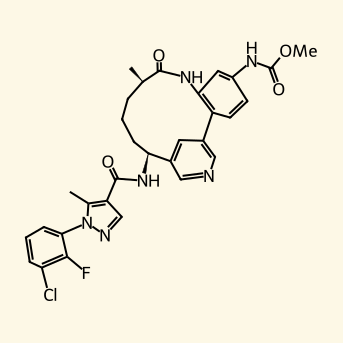 COC(=O)Nc1ccc2c(c1)NC(=O)[C@H](C)CCC[C@H](NC(=O)c1cnn(-c3cccc(Cl)c3F)c1C)c1cncc-2c1